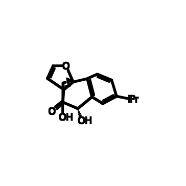 CC(C)c1ccc2c(c1)[C@H](O)C(=O)C13C=COC21CC=C3O